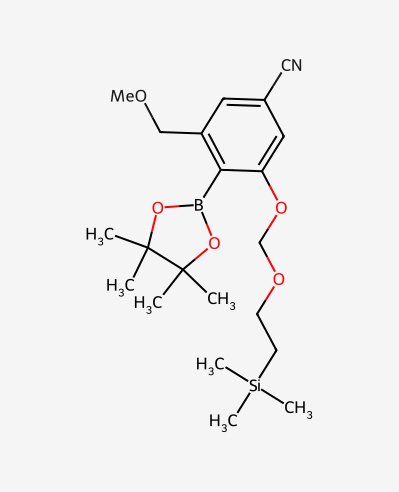 COCc1cc(C#N)cc(OCOCC[Si](C)(C)C)c1B1OC(C)(C)C(C)(C)O1